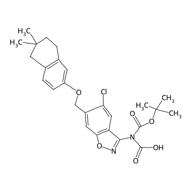 CC1(C)CCc2cc(OCc3cc4onc(N(C(=O)O)C(=O)OC(C)(C)C)c4cc3Cl)ccc2C1